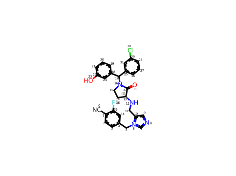 N#Cc1ccc(Cn2cncc2CN[C@H]2CCN(C(c3cccc(O)c3)c3cccc(Cl)c3)C2=O)cc1F